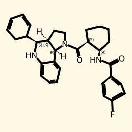 O=C(N[C@@H]1CCCC[C@@H]1C(=O)N1CC[C@@H]2[C@H](C3C=CC=CC3)Nc3ccccc3[C@@H]21)c1ccc(F)cc1